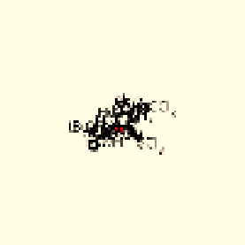 CC1=C2[C@@H](OC(=O)OCC(Cl)(Cl)Cl)C(=O)[C@]3(C)[C@@H](OC(=O)OCC(Cl)(Cl)Cl)C[C@H]4OC[C@@]4(O)[C@H]3[C@H](O)[C@](O)(C[C@@H]1OC(=O)[C@H](O)[C@@H](NC(=O)OC(C)(C)C)c1ccccc1)C2(C)C